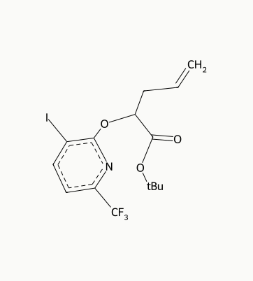 C=CCC(Oc1nc(C(F)(F)F)ccc1I)C(=O)OC(C)(C)C